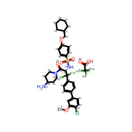 CCOc1cc(-c2ccc(C(F)(F)[C@@H](NS(=O)(=O)c3ccc(OCC4CCCCC4)cc3)C(=O)N3CCC(N)CC3)cc2)ccc1Cl.O=C(O)C(F)(F)F